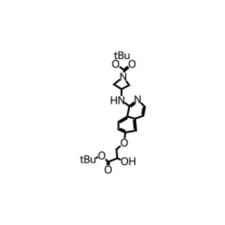 CC(C)(C)OC(=O)C(O)COc1ccc2c(NC3CN(C(=O)OC(C)(C)C)C3)nccc2c1